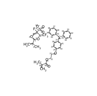 C=C(C)C(=O)OC(C(F)(F)F)C(F)(F)S(=O)(=O)[O-].C=C(C)C(=O)OCCOc1ccc([S+](c2ccccc2)c2ccccc2)cc1